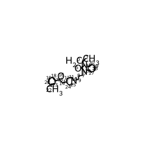 C=C(C)n1c(=O)n(CCCN2CCC(CC(=O)c3cccc(C)c3)CC2)c2ccccc21